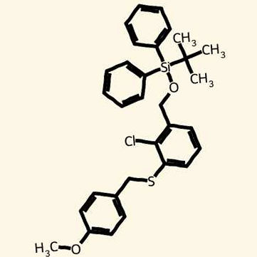 COc1ccc(CSc2cccc(CO[Si](c3ccccc3)(c3ccccc3)C(C)(C)C)c2Cl)cc1